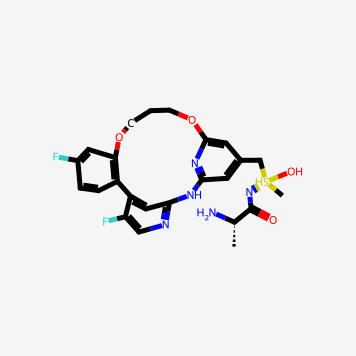 C[C@H](N)C(=O)N=[SH](C)(O)Cc1cc2nc(c1)OCCCOc1cc(F)ccc1-c1cc(ncc1F)N2